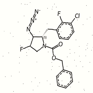 [N-]=[N+]=NC1C(F)CN(C(=O)OCc2ccccc2)[C@H]1Cc1cccc(Cl)c1F